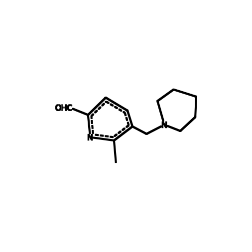 Cc1nc(C=O)ccc1CN1CCCCC1